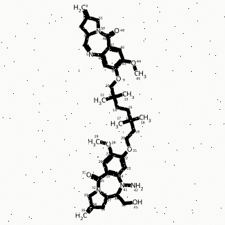 C=C1CC2C=Nc3cc(OCC(C)(C)CCC(C)(C)CCOc4cc5c(cc4OC)C(=O)N4CC(=C)CC4C(CO)N5N)c(OC)cc3C(=O)N2C1